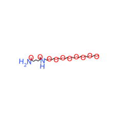 COCCOCCOCCOCCOCCOCCOCCOCCNC(=O)CCCC(N)=O